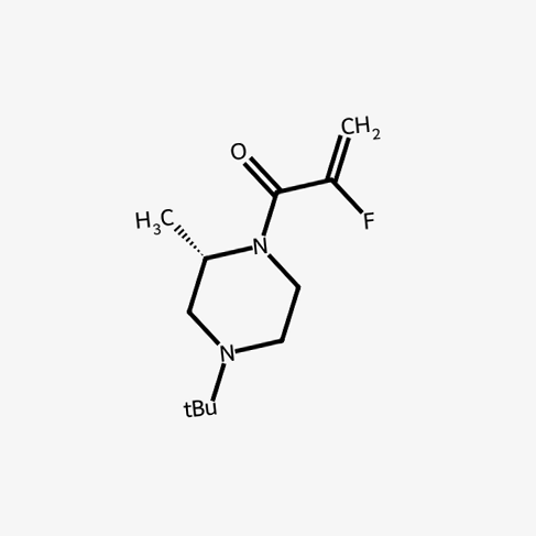 C=C(F)C(=O)N1CCN(C(C)(C)C)C[C@@H]1C